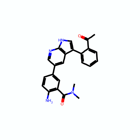 CC(=O)c1ccccc1-c1c[nH]c2ncc(-c3ccc(N)c(C(=O)N(C)C)c3)cc12